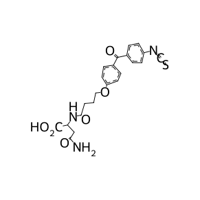 NC(=O)CC(NC(=O)CCCOc1ccc(C(=O)c2ccc(N=C=S)cc2)cc1)C(=O)O